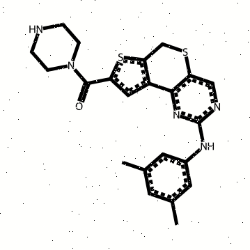 Cc1cc(C)cc(Nc2ncc3c(n2)-c2cc(C(=O)N4CCNCC4)sc2CS3)c1